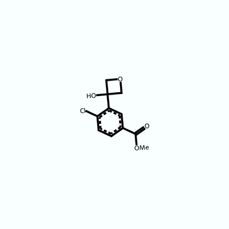 COC(=O)c1ccc(Cl)c(C2(O)COC2)c1